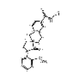 COc1ccccc1N1CC[C@]2(CCc3cc(C(=O)NO)ccc3C2)C1=O